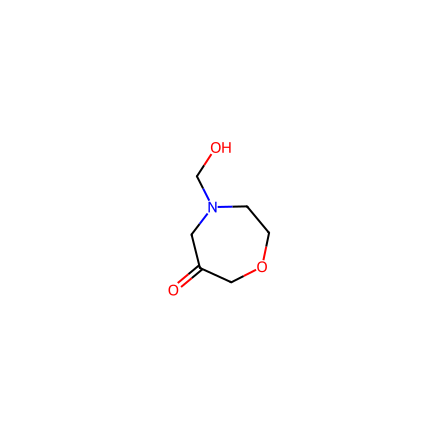 O=C1COCCN(CO)C1